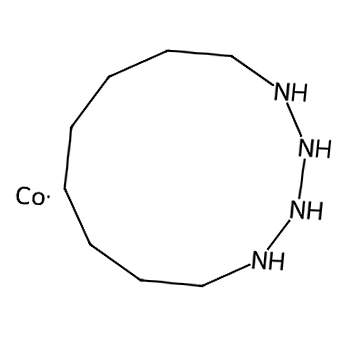 C1CCCCNNNNCCC1.[Co]